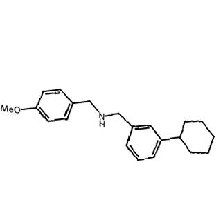 COc1ccc(CNCc2cccc(C3CCCCC3)c2)cc1